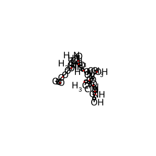 Cc1cccc2c(OC(=O)N(CCCC(=O)O)CCN(C)C(=O)OCc3ccc(NC(=O)[C@H](CCCNC(N)=O)NC(=O)[C@@H](NC(=O)OCCOCCOCCOCCN4C(=O)C=CC4=O)C(C)C)cc3)cc3c(c12)[C@H](CCl)CN3C(=O)c1cn2cc(NC(=O)c3ccc(O)cc3)ccc2n1